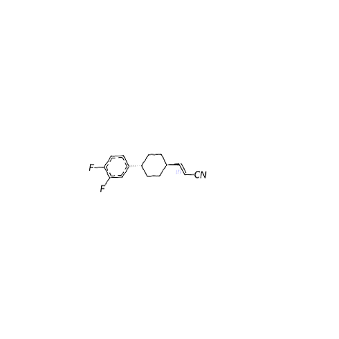 N#C/C=C/[C@H]1CC[C@H](c2ccc(F)c(F)c2)CC1